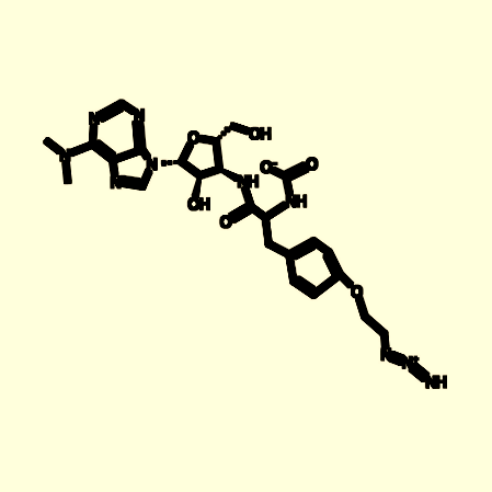 CN(C)c1ncnc2c1ncn2[C@@H]1O[C@H](CO)[C@@H](NC(=O)C(Cc2ccc(OCCN=[N+]=N)cc2)NC(=O)[O-])[C@H]1O